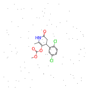 COC(=O)OC1=C(C)NC(=O)CC1c1cc(Cl)ccc1Cl